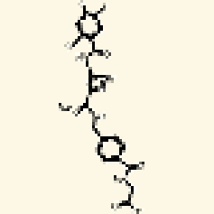 O=C([O-])CNC(=O)c1ccc(CNC(=O)c2cc(NC(=O)c3cc(F)c(F)cc3Cl)[nH]n2)cc1.[Na+]